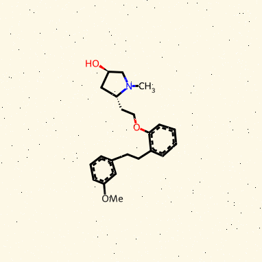 COc1cccc(CCc2ccccc2OCC[C@@H]2C[C@@H](O)CN2C)c1